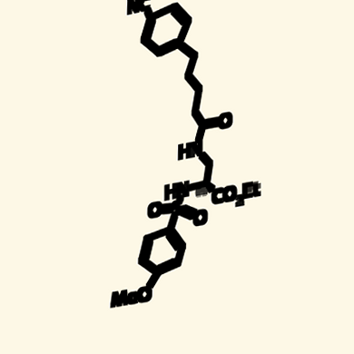 CCOC(=O)[C@H](CNC(=O)CCCCc1ccc(C#N)cc1)NS(=O)(=O)c1ccc(OC)cc1